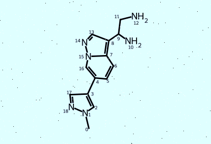 Cn1cc(-c2ccc3c(C(N)CN)cnn3c2)cn1